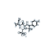 CS(=O)(=O)CC[C@H](N[C@@H](c1ccc(F)cc1)C(F)(F)F)C(=O)NC1(C#N)CC1